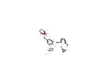 CO[C@]1(C)C[C@H](Cn2c(-c3ccc(C=N)n3CC3CC3)nc3cc(C(=O)N4C[C@H]5CC[C@@H]4[C@@H]5N)cc(F)c32)C1